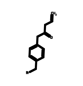 C=CCC(=O)Cc1ccc(CBr)cc1